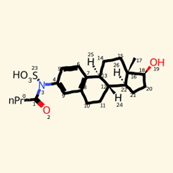 CCCC(=O)N(c1ccc2c(c1)CC[C@@H]1[C@@H]2CC[C@]2(C)[C@@H](O)CC[C@@H]12)S(=O)(=O)O